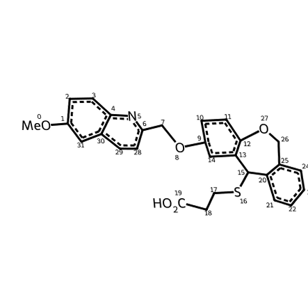 COc1ccc2nc(COc3ccc4c(c3)C(SCCC(=O)O)c3ccccc3CO4)ccc2c1